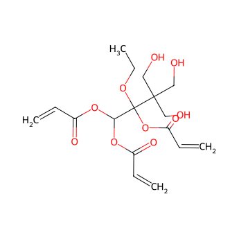 C=CC(=O)OC(OC(=O)C=C)C(OCC)(OC(=O)C=C)C(CO)(CO)CO